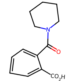 O=C(O)c1ccccc1C(=O)N1CCCCC1